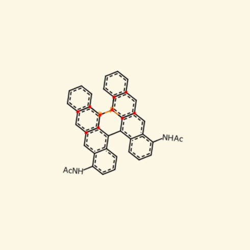 CC(=O)Nc1cccc2c(-c3c(P(c4ccccc4)c4ccccc4)ccc4c(NC(C)=O)cccc34)c(P(c3ccccc3)c3ccccc3)ccc12